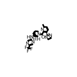 Cc1ccc(-n2nccn2)c(C(=O)N2CC3CC[C@H]2[C@H](Nc2cnc(C(F)(F)F)cn2)C3)n1